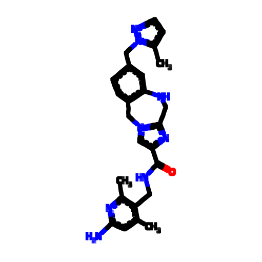 Cc1cc(N)nc(C)c1CNC(=O)c1cn2c(n1)CNc1cc(Cn3nccc3C)ccc1C2